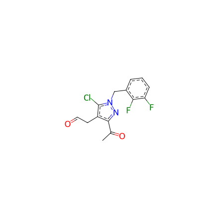 CC(=O)c1nn(Cc2cccc(F)c2F)c(Cl)c1CC=O